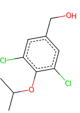 CC(C)Oc1c(Cl)cc(CO)cc1Cl